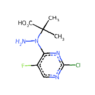 CC(C)(C(=O)O)N(N)c1nc(Cl)ncc1F